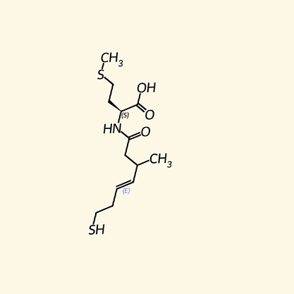 CSCC[C@H](NC(=O)CC(C)/C=C/CCS)C(=O)O